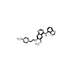 COc1cc2c(Nc3cccc4c3OCO4)ncnc2cc1OCCN1CCN(C)CC1